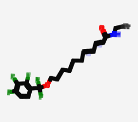 CC(C)CNC(=O)/C=C/C=C/CCCCCCOC(F)(F)c1ccc(F)c(F)c1F